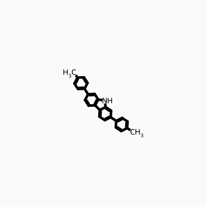 Cc1ccc(-c2ccc3c(c2)[nH]c2cc(-c4ccc(C)cc4)ccc23)cc1